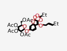 CCC=CCCOc1c(OC(=O)CC)c(=O)oc2cc(O[C@@H]3O[C@H](COC(C)=O)[C@@H](OC(C)=O)[C@H](OC(C)=O)[C@H]3OC(C)=O)ccc12